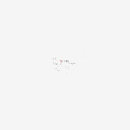 CN(C(=N)NCC(=O)N1[C@H](CO)[C@@H](O)C(O)[C@H](O)[C@H]1CO)C(C(=O)O)C(O)(C(=O)O)C(C(=O)O)(N(C)C(=N)NCC(=O)N1[C@H](CO)[C@@H](O)C(O)[C@H](O)[C@H]1CO)N(C)C(=N)NCC(=O)N1[C@H](CO)[C@@H](O)C(O)[C@H](O)[C@H]1CO